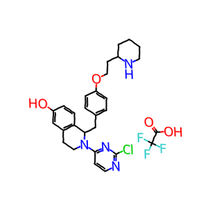 O=C(O)C(F)(F)F.Oc1ccc2c(c1)CCN(c1ccnc(Cl)n1)C2Cc1ccc(OCCC2CCCCN2)cc1